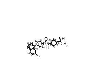 CC(C)c1ccc(NC(=O)N2CCN(c3ncnc4ccc(I)cc34)CC2)cc1